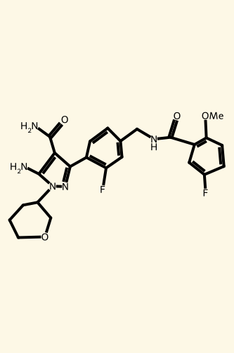 COc1ccc(F)cc1C(=O)NCc1ccc(-c2nn(C3CCCOC3)c(N)c2C(N)=O)c(F)c1